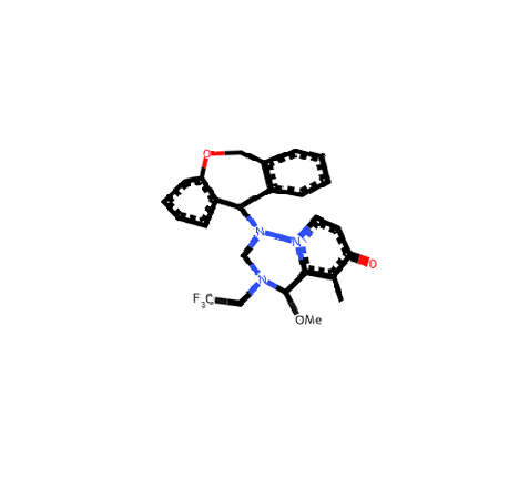 COC1c2c(C)c(=O)ccn2N(C2c3ccccc3COc3ccccc32)CN1CC(F)(F)F